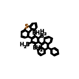 Bc1c(B)c(-c2cccc3sc4ccccc4c23)c(B)c(B)c1-c1c2ccccc2c(-c2ccccc2)c2ccccc12